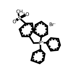 CS(=O)(=O)c1ccc(C[P+](c2ccccc2)(c2ccccc2)c2ccccc2)cc1.[Br-]